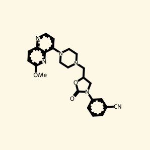 COc1ccc2nccc(N3CCN(CC4CN(c5cccc(C#N)c5)C(=O)O4)CC3)c2n1